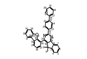 CC1(C)c2ccccc2-c2nc(-c3ccc(-c4ccccn4)cc3)nc(-c3cccc4c3oc3ccccc34)c21